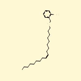 CCCCCCCC/C=C\CCCCCCCCNCc1ccccc1O